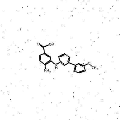 COc1cccc(-c2cccc(Nc3cc(C(=O)O)ccc3N)c2)c1